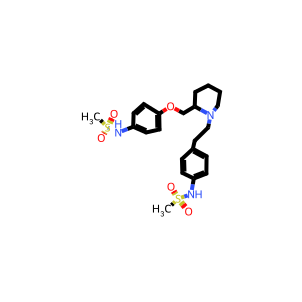 CS(=O)(=O)Nc1ccc(CCN2CCCCC2COc2ccc(NS(C)(=O)=O)cc2)cc1